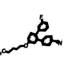 CCCCCOc1ccc(-c2cccc(F)c2)c(-c2ccc(C#N)cc2)c1